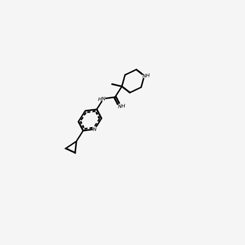 CC1(C(=N)Nc2ccc(C3CC3)nc2)CCNCC1